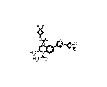 CC(=O)N1c2ccc(-c3cnn(C4CS(=O)(=O)C4)c3)cc2N(C(=O)OC2CC(F)(F)C2)C[C@@H]1C